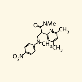 CNC(=O)C(CN(C)c1ccc([N+](=O)[O-])cc1)c1cc(C)cc(C)n1